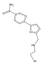 CC(C)CCNCc1ccc(-c2ccc(C(N)=O)cc2)o1